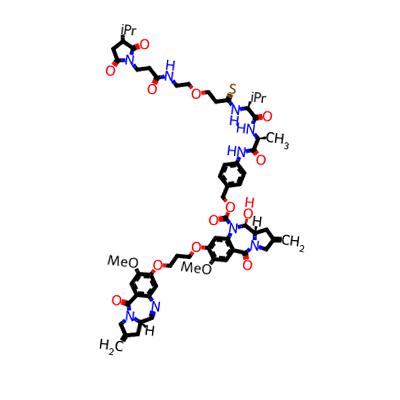 C=C1C[C@H]2C=Nc3cc(OCCCOc4cc5c(cc4OC)C(=O)N4CC(=C)C[C@H]4[C@H](O)N5C(=O)OCc4ccc(NC(=O)[C@H](C)NC(=O)[C@@H](NC(=S)CCOCCNC(=O)CCN5C(=O)CC(C(C)C)C5=O)C(C)C)cc4)c(OC)cc3C(=O)N2C1